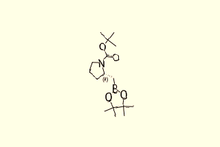 CC(C)(C)OC(=O)N1CCC[C@H]1CB1OC(C)(C)C(C)(C)O1